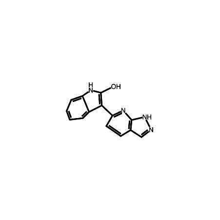 Oc1[nH]c2ccccc2c1-c1ccc2cn[nH]c2n1